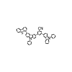 N#Cc1cc(-c2ccc3c(c2)c2ccccc2n3-c2ccccc2)cc(-c2ccc3c(c2)c2cc(-c4cccc5c4sc4ccccc45)ccc2n3-c2ccccc2)c1